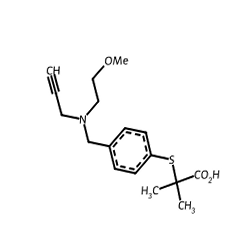 C#CCN(CCOC)Cc1ccc(SC(C)(C)C(=O)O)cc1